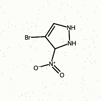 O=[N+]([O-])C1NNC=C1Br